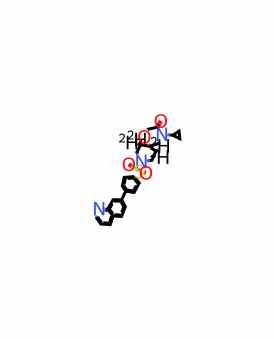 [2H]C1([2H])CN(S(=O)(=O)c2ccc(-c3ccc4cccnc4c3)cc2)CC([2H])([2H])C12CN(C1CC1)C(=O)CO2